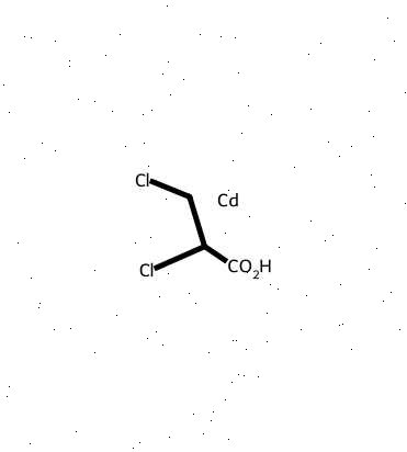 O=C(O)C(Cl)CCl.[Cd]